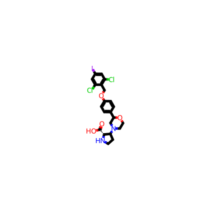 O=C(O)[C@H]1NCCC1N1CCOC(c2ccc(OCc3c(Cl)cc(I)cc3Cl)cc2)C1